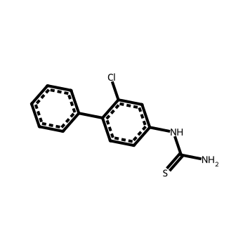 NC(=S)Nc1ccc(-c2ccccc2)c(Cl)c1